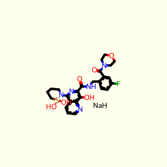 O=C(NCc1ccc(F)cc1C(=O)N1CCOCC1)c1nc(N2CCCCS2(O)O)c2cccnc2c1O.[NaH]